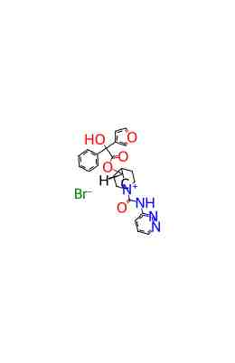 O=C(O[C@H]1C[N+]2(C(=O)Nc3cccnn3)CCC1CC2)C(O)(c1ccccc1)c1ccoc1.[Br-]